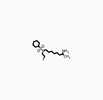 CC(N)CCCCCCN(CCF)S(=O)(=O)C1CCCCC1